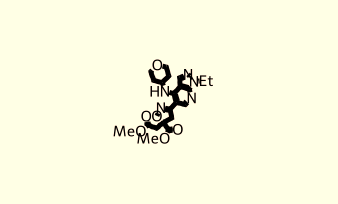 CCn1ncc2c(NC3CCOCC3)c(C3=NOC(CC(=O)OC)(C(=O)OC)C3)cnc21